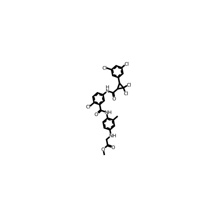 COC(=O)CNc1ccc(NC(=O)c2cc(NC(=O)C3C(c4cc(Cl)cc(Cl)c4)C3(Cl)Cl)ccc2Cl)c(C)c1